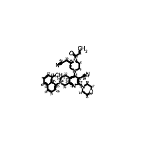 C=CC(=O)N1CCN(c2c(C#N)c(N3CCOCC3)nc3c2CCN(c2cccc4cccc(C)c24)C3)CC1CC#N